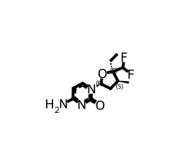 CC[C@@]1(C(F)F)O[C@@H](n2ccc(N)nc2=O)C[C@@H]1C